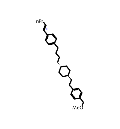 CCC/C=C/c1ccc(CCCC[C@H]2CC[C@H](CCc3ccc(COC)cc3)CC2)cc1